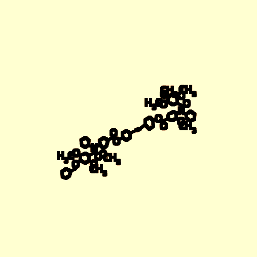 COc1cc(OC)c(C(=O)N(c2ccccc2)c2ccc(C(=O)Oc3ccc(C#Cc4ccc(OC(=O)c5ccc(N(C(=O)c6cc(OC)c(OCc7ccccc7)cc6OC)c6ccccc6)c(OC)c5)cc4)cc3)cc2OC)cc1OC